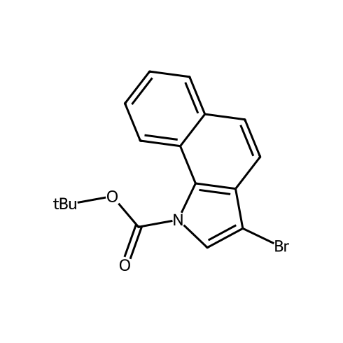 CC(C)(C)OC(=O)n1cc(Br)c2ccc3ccccc3c21